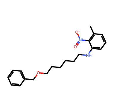 Cc1cccc(NCCCCCCOCc2ccccc2)c1[N+](=O)[O-]